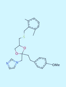 COc1ccc(CCC2(Cn3ccnc3)OCC(CSCc3c(C)cccc3C)O2)cc1